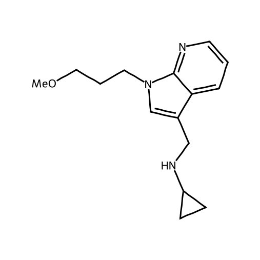 COCCCn1cc(CNC2CC2)c2cccnc21